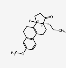 CCC[C@]12CCC3=C(CCc4cc(OC)ccc43)[C@@H]1CCC2=O